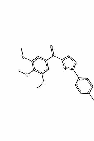 COc1cc(C(=O)c2csc(-c3ccc(F)cc3)n2)cc(OC)c1OC